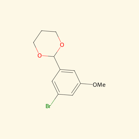 COc1cc(Br)cc(C2OCCCO2)c1